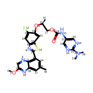 COc1cnc2c(-c3nc4cc(F)c(O[C@@H](C)COC(=O)Nc5cnc(N(C)C)nc5)cc4s3)cc(C)cc2n1